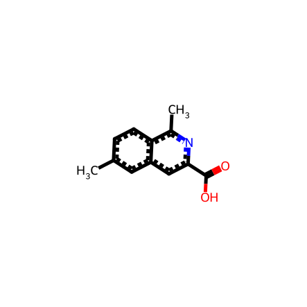 Cc1ccc2c(C)nc(C(=O)O)cc2c1